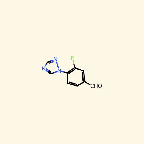 O=Cc1ccc(-n2cncn2)c(F)c1